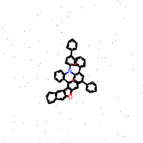 c1ccc(-c2ccc(N(c3ccc(-c4ccccc4)cc3-c3ccccc3)c3ccccc3-c3cccc4oc5cc6ccccc6cc5c34)cc2)cc1